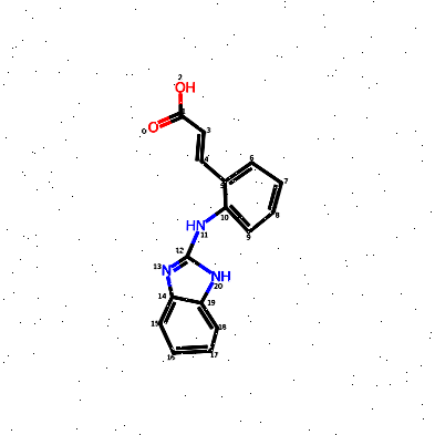 O=C(O)C=Cc1ccccc1Nc1nc2ccccc2[nH]1